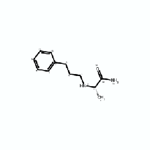 C[C@H](NCCCc1ccccc1)C(N)=O